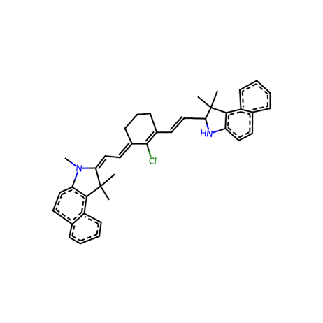 CN1/C(=C/C=C2\CCCC(/C=C/C3Nc4ccc5ccccc5c4C3(C)C)=C2Cl)C(C)(C)c2c1ccc1ccccc21